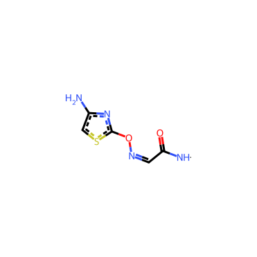 [NH]C(=O)/C=N\Oc1nc(N)cs1